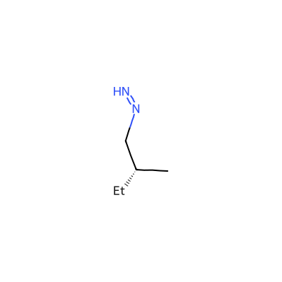 CC[C@@H](C)CN=N